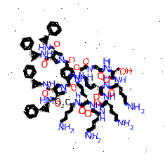 NCCCC[C@H](NC(=O)[C@H](CCCCN)NC(=O)[C@H](CCCCN)NC(=O)[C@H](CCCCN)NC(=O)[C@H](CCCCN)NC(=O)[C@H](CCCCN)NC(=O)[C@H](CO)NC(=O)CNC(=O)COc1cc(C(=O)N2C[C@@H](C(=O)N[C@H]3C[C@@H]3c3ccccc3)[C@H](C(=O)N[C@H]3C[C@@H]3c3ccccc3)C2)ccc1C(=O)N1C[C@@H](C(=O)N[C@H]2C[C@@H]2c2ccccc2)[C@H](C(=O)N[C@H]2C[C@@H]2c2ccccc2)C1)C(=O)O